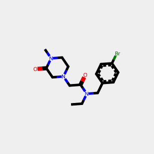 CCN(Cc1ccc(Br)cc1)C(=O)CN1CCN(C)C(=O)C1